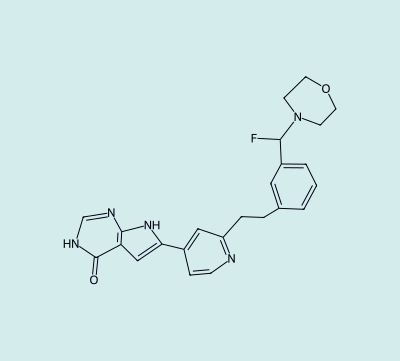 O=c1[nH]cnc2[nH]c(-c3ccnc(CCc4cccc(C(F)N5CCOCC5)c4)c3)cc12